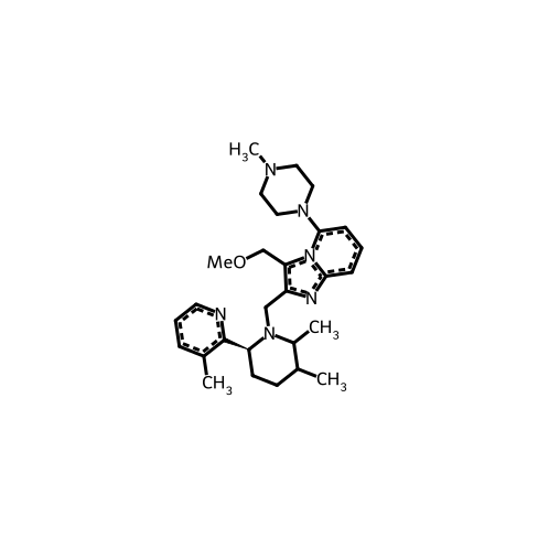 COCc1c(CN2C(C)C(C)CC[C@H]2c2ncccc2C)nc2cccc(N3CCN(C)CC3)n12